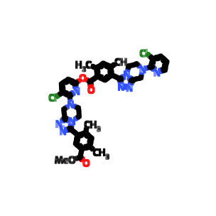 COC(=O)c1cc(-c2nnc3n2CCN(c2nc(OC(=O)c4cc(-c5nnc6n5CCN(c5ncccc5Cl)C6)c(C)cc4C)ccc2Cl)C3)c(C)cc1C